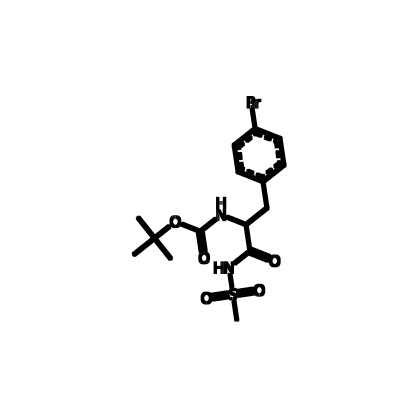 CC(C)(C)OC(=O)NC(Cc1ccc(Br)cc1)C(=O)NS(C)(=O)=O